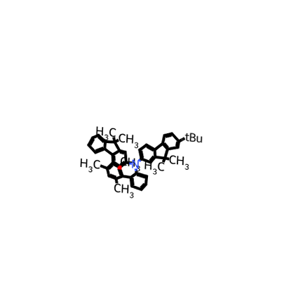 Cc1cc(C)c(-c2ccccc2N(c2ccc3c(c2)C(C)(C)c2ccccc2-3)c2ccc3c(c2)C(C)(C)c2cc(C(C)(C)C)ccc2-3)c(C)c1